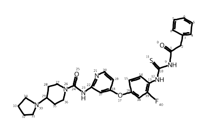 O=C(Cc1ccccc1)NC(=S)Nc1ccc(Oc2ccnc(NC(=O)N3CCC(N4CCCC4)CC3)c2)cc1F